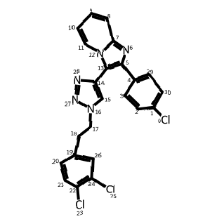 Clc1ccc(-c2nc3ccccn3c2-c2cn(CCc3ccc(Cl)c(Cl)c3)nn2)cc1